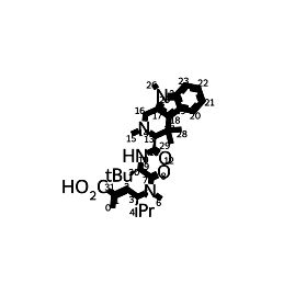 C/C(=C\[C@@H](C(C)C)N(C)C(=O)[C@@H](NC(=O)[C@H]1N(C)Cc2c(c3ccccc3n2C)C1(C)C)C(C)(C)C)C(=O)O